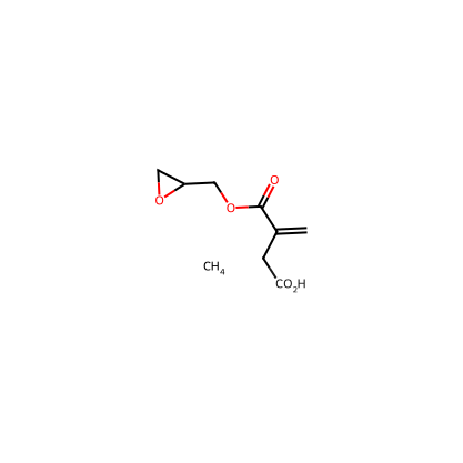 C.C=C(CC(=O)O)C(=O)OCC1CO1